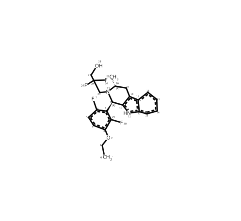 [CH2]COc1ccc(F)c([C@@H]2c3[nH]c4ccccc4c3C[C@@H](C)N2CC(F)(F)CO)c1F